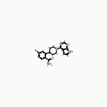 NC(=O)c1ccc(F)cc1C1CCN(c2ncnc3[nH]ccc23)CC1